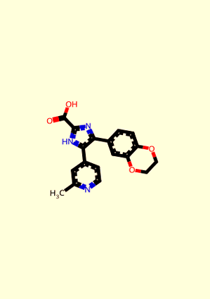 Cc1cc(-c2[nH]c(C(=O)O)nc2-c2ccc3c(c2)OCCO3)ccn1